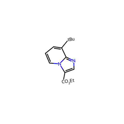 CCOC(=O)c1cnc2c(C(C)(C)C)cccn12